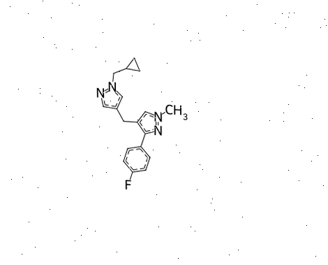 Cn1cc(Cc2cnn(CC3CC3)c2)c(-c2ccc(F)cc2)n1